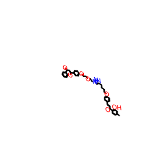 Cc1ccc(C(=O)/C=C/c2ccc(OCCCCc3cn(CCOCCOc4ccc(-c5cc(=O)c6ccccc6o5)cc4)nn3)cc2)c(O)c1